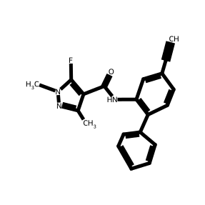 C#Cc1ccc(-c2ccccc2)c(NC(=O)c2c(C)nn(C)c2F)c1